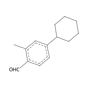 Cc1cc(C2CCCCC2)ccc1C=O